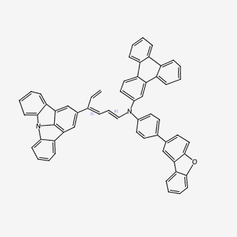 C=C/C(=C\C=C\N(c1ccc(-c2ccc3oc4ccccc4c3c2)cc1)c1ccc2c3ccccc3c3ccccc3c2c1)c1cc2c3ccccc3n3c4ccccc4c(c1)c23